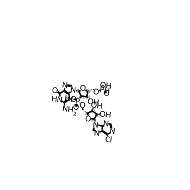 Nc1nc2c(ncn2[C@@H]2O[C@H](CO[PH](=O)O)[C@@H](O)[C@H]2P(=O)(O)OC[C@H]2O[C@@H](n3cnc4c(Cl)ncnc43)[C@H](O)[C@@H]2O)c(=O)[nH]1